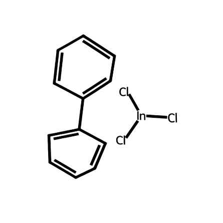 [Cl][In]([Cl])[Cl].c1ccc(-c2ccccc2)cc1